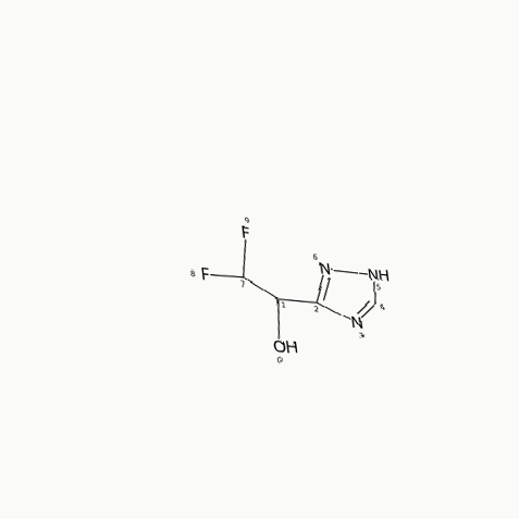 OC(c1nc[nH]n1)C(F)F